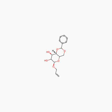 C=CCO[C@@H]1OC2COC(c3ccccc3)O[C@H]2[C@H](O)C1O